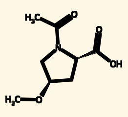 CO[C@@H]1C[C@@H](C(=O)O)N(C(C)=O)C1